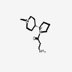 CN1CCC([C@@H]2CCCN2C(=O)CCN)CC1